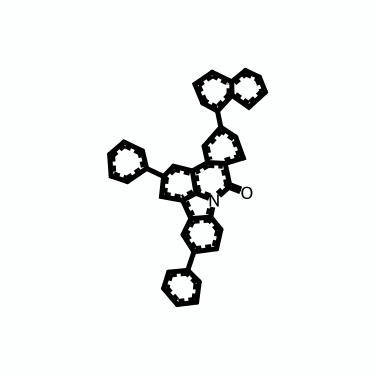 O=c1c2ccc(-c3cccc4ccccc34)cc2c2cc(-c3ccccc3)cc3c4cc(-c5ccccc5)ccc4n1c23